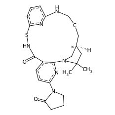 CC1(C)C[C@@H]2CCCNc3cccc(n3)SNC(=O)c3ccc(N4CCCC4=O)nc3N1C2